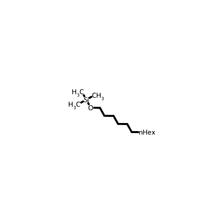 CCCCCCCCCCCCO[Si](C)(C)C